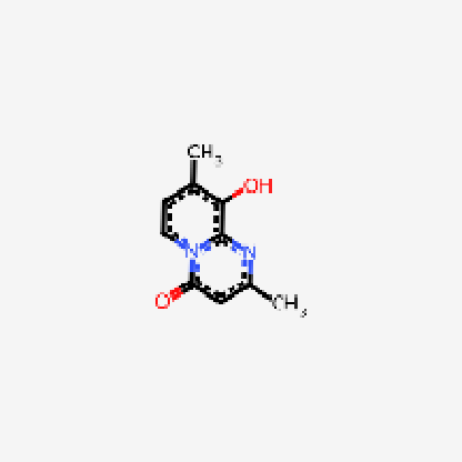 Cc1cc(=O)n2ccc(C)c(O)c2n1